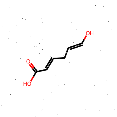 O=C(O)C=CCC=CO